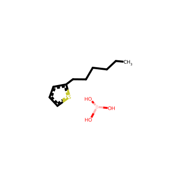 CCCCCCc1cccs1.OB(O)O